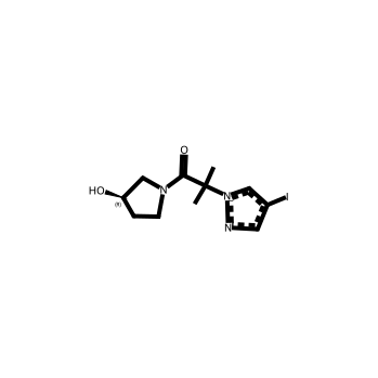 CC(C)(C(=O)N1CC[C@@H](O)C1)n1cc(I)cn1